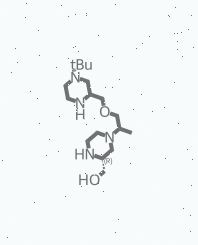 CC(COCC1CN(C(C)(C)C)CCN1)N1CCN[C@@H](CO)C1